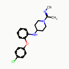 CC(=NC#N)N1CCC(Nc2ccccc2Oc2ccc(Cl)cc2)CC1